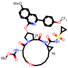 COc1ccc2c(O[C@@H]3C[C@H]4C(=O)N[C@]5(C(=O)NS(=O)(=O)C6CC6)C[C@H]5CCCCOCC[C@H](NC(=O)OC(C)(C)C)C(=O)N4C3)nc(-c3ccc(OC(F)(F)F)cc3)cc2c1